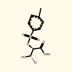 CC[C@H](O)[C@@H](OS(=O)(=O)c1ccc(C)cc1)C(=O)OC